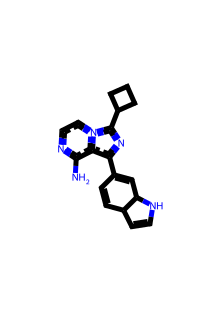 Nc1nccn2c(C3CCC3)nc(C3=CC4NC=CC4C=C3)c12